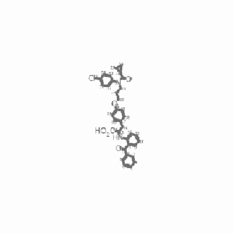 O=C(c1ccccc1)c1ccccc1NC(Cc1ccc(OCCCN(C(=O)C2CC2)c2ccc(Cl)cc2)cc1)C(=O)O